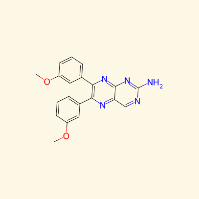 COc1cccc(-c2nc3cnc(N)nc3nc2-c2cccc(OC)c2)c1